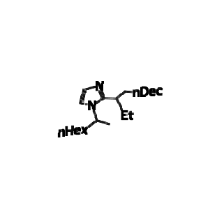 CCCCCCCCCCCC(CC)c1nccn1C(C)CCCCCC